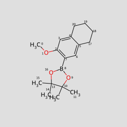 COc1cc2c(cc1B1OC(C)(C)C(C)(C)O1)CCCC2